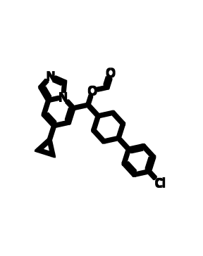 O=COC(c1cc(C2CC2)cc2cncn12)C1CCC(c2ccc(Cl)cc2)CC1